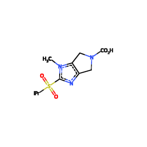 CC(C)S(=O)(=O)c1nc2c(n1C)CN(C(=O)O)C2